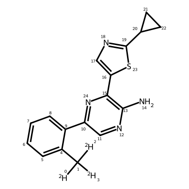 [2H]C([2H])([2H])c1ccccc1-c1cnc(N)c(-c2cnc(C3CC3)s2)n1